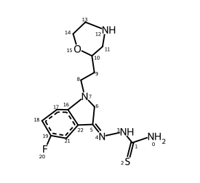 NC(=S)N/N=C1\CN(CCC2CNCCO2)c2ccc(F)cc21